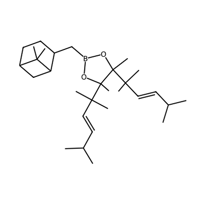 CC(C)C=CC(C)(C)C1(C)OB(CC2CCC3CC2C3(C)C)OC1(C)C(C)(C)C=CC(C)C